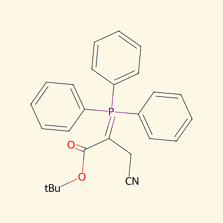 CC(C)(C)OC(=O)C(CC#N)=P(c1ccccc1)(c1ccccc1)c1ccccc1